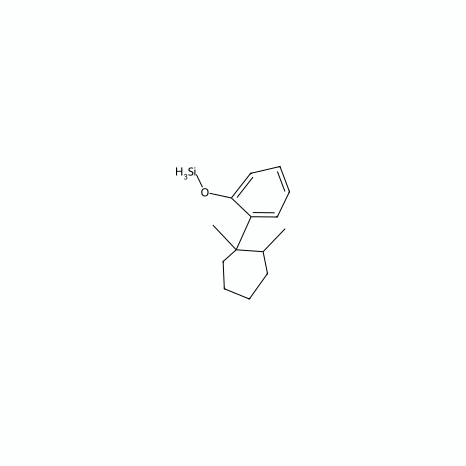 CC1CCCCC1(C)c1ccccc1O[SiH3]